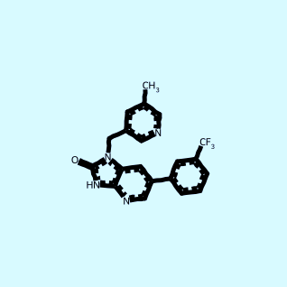 Cc1cncc(Cn2c(=O)[nH]c3ncc(-c4cccc(C(F)(F)F)c4)cc32)c1